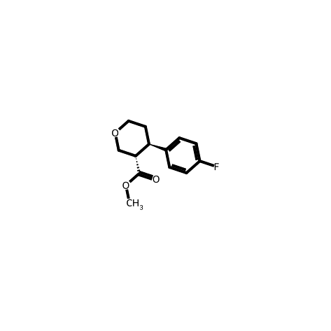 COC(=O)[C@@H]1COCC[C@H]1c1ccc(F)cc1